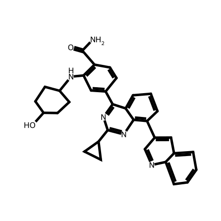 NC(=O)c1ccc(-c2nc(C3CC3)nc3c(-c4cnc5ccccc5c4)cccc23)cc1NC1CCC(O)CC1